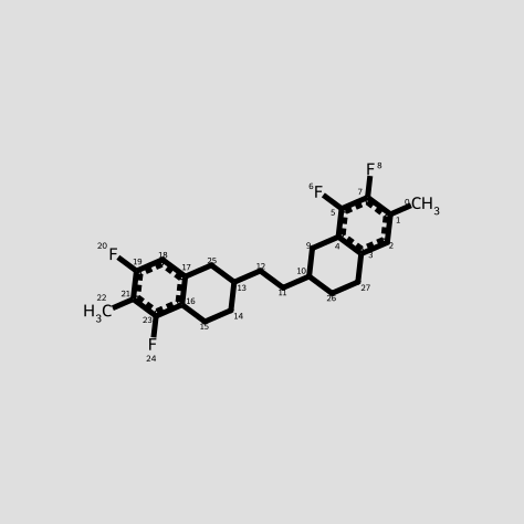 Cc1cc2c(c(F)c1F)CC(CCC1CCc3c(cc(F)c(C)c3F)C1)CC2